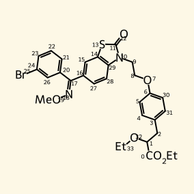 CCOC(=O)C(Cc1ccc(OCCn2c(=O)sc3cc(/C(=N/OC)c4cccc(Br)c4)ccc32)cc1)OCC